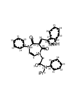 CC(C)N(C(=O)CN1C=CN(c2ccccc2)C(=O)C(=Cc2n[nH]c3ccccc23)C1=O)c1ccccc1